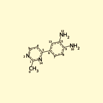 Cc1nccc(-c2ccc(N)c(N)c2)n1